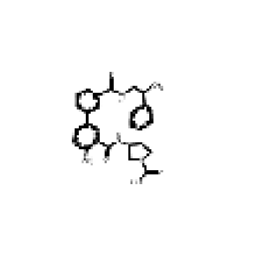 CC(CNC(=O)c1cccc(-c2cnc(N)c(C(=O)N[C@H]3CCN(C(=O)O)C3)n2)c1)c1ccccc1